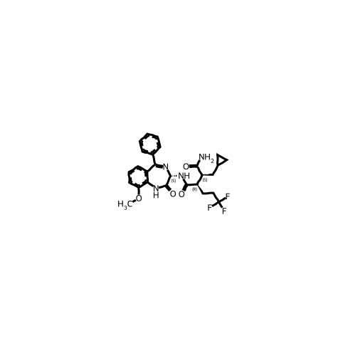 COc1cccc2c1NC(=O)[C@@H](NC(=O)[C@H](CCC(F)(F)F)[C@H](CC1CC1)C(N)=O)N=C2c1ccccc1